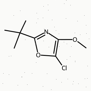 COc1nc(C(C)(C)C)oc1Cl